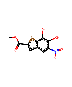 COC(=O)c1cc2cc([N+](=O)[O-])c(O)c(O)c2s1